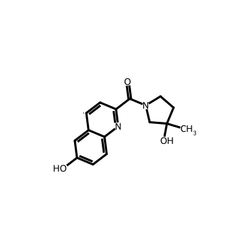 CC1(O)CCN(C(=O)c2c[c]c3cc(O)ccc3n2)C1